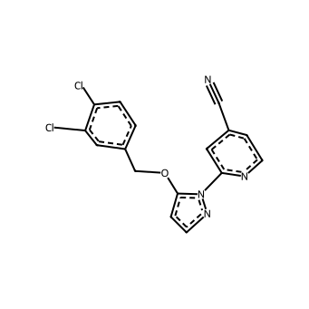 N#Cc1ccnc(-n2nccc2OCc2ccc(Cl)c(Cl)c2)c1